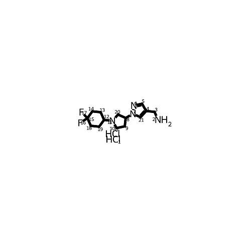 Cl.Cl.NCc1cnn(C2CCN(C3CCC(F)(F)CC3)C2)c1